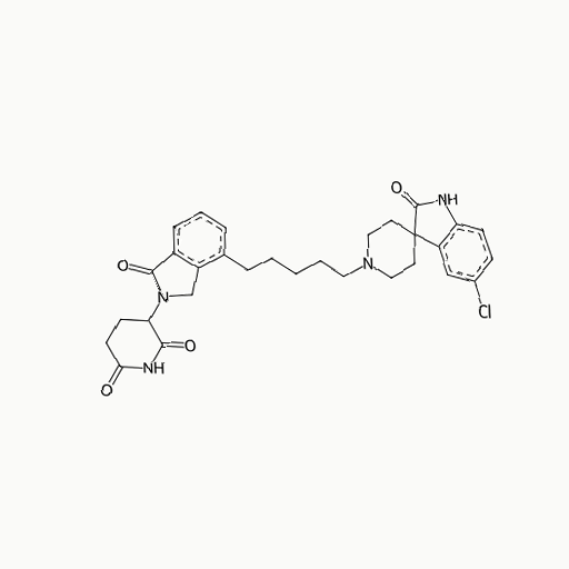 O=C1CCC(N2Cc3c(CCCCCN4CCC5(CC4)C(=O)Nc4ccc(Cl)cc45)cccc3C2=O)C(=O)N1